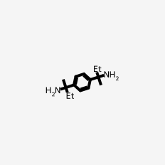 CCC(C)(N)c1ccc(C(C)(N)CC)cc1